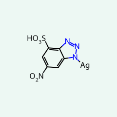 O=[N+]([O-])c1cc(S(=O)(=O)O)c2nn[n]([Ag])c2c1